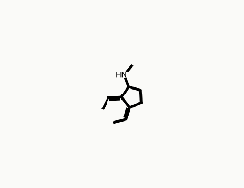 C/C=C1/CCC(NC)/C1=C/C